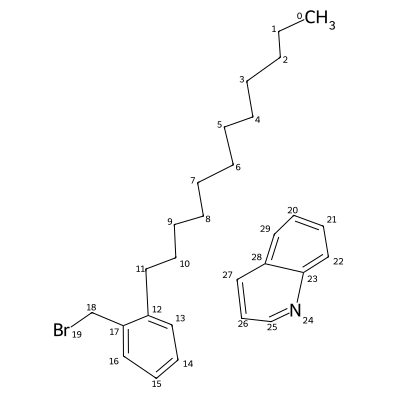 CCCCCCCCCCCCc1ccccc1CBr.c1ccc2ncccc2c1